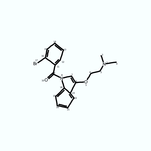 CN(C)CCOc1cn(C(=O)c2ccccc2Br)c2ccccc12